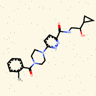 O=C(NCC(O)C1CC1)c1ccc(N2CCN(C(=O)c3ccccc3C(F)(F)F)CC2)nn1